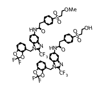 COCCS(=O)(=O)c1ccc(CC(=O)Nc2ccc3c(c2)nc(C(F)(F)F)n3Cc2cccc3c2OC(F)(F)O3)cc1.O=C(Cc1ccc(S(=O)(=O)CCO)cc1)Nc1ccc2c(c1)nc(C(F)(F)F)n2Cc1cccc2c1OC(F)(F)O2